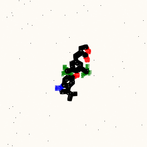 CC(C)c1c[nH]c2ccc(Oc3c(C(F)(F)F)cc(C=C4CCOC4=O)cc3C(F)(F)F)cc12